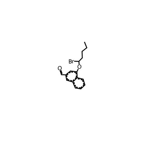 CCCCC(Br)Oc1cc(C=O)cc2ccccc12